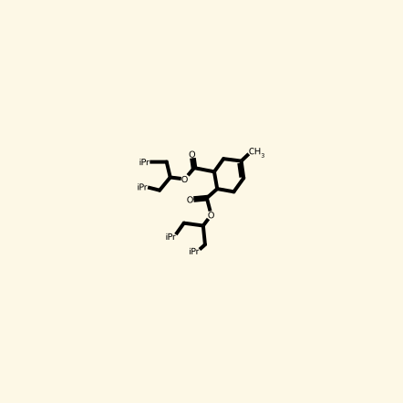 CC1=CCC(C(=O)OC(CC(C)C)CC(C)C)C(C(=O)OC(CC(C)C)CC(C)C)C1